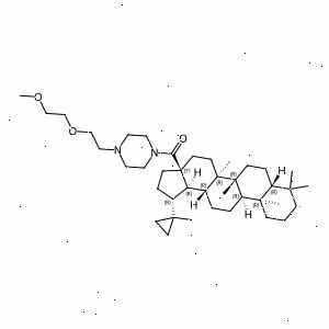 COCCOCCN1CCN(C(=O)[C@]23CC[C@@H](C4(C)CC4)[C@@H]2[C@H]2CC[C@@H]4[C@]5(C)CC[CH]C(C)(C)[C@H]5CC[C@@]4(C)[C@]2(C)CC3)CC1